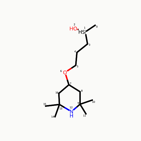 C[SiH](O)CCCOC1CC(C)(C)NC(C)(C)C1